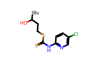 CC(C)(C)C(O)CCSC(=S)Nc1ccc(Cl)cn1